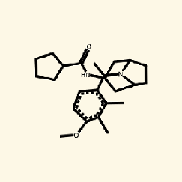 COc1ccc(C(C)N2C3CCC2CC(NC(=O)C2CCCC2)C3)c(C)c1C